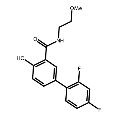 COCCNC(=O)c1cc(-c2ccc(F)cc2F)ccc1O